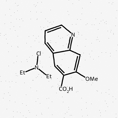 CCN(Cl)CC.COc1cc2ncccc2cc1C(=O)O